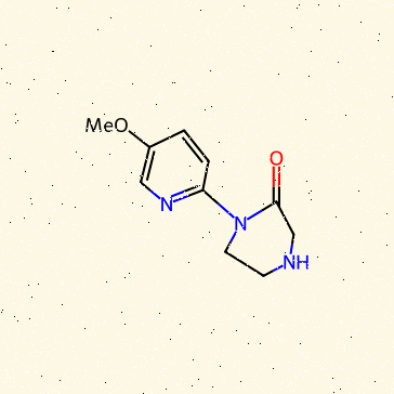 COc1ccc(N2CCNCC2=O)nc1